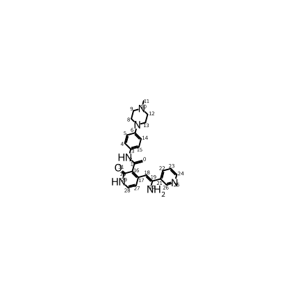 C=C(Nc1ccc(N2CCN(C)CC2)cc1)c1c(/C=C(\N)c2cccnc2)cc[nH]c1=O